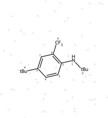 CC(C)(C)Nc1ccc(C(C)(C)C)cc1C(F)(F)F